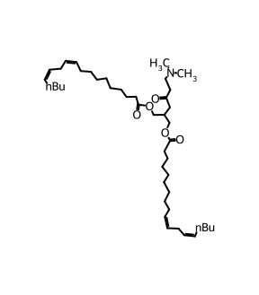 CCCC/C=C\C/C=C\CCCCCCCCC(=O)OCC(COC(=O)CCCCCCCC/C=C\C/C=C\CCCC)CC(=O)CCN(C)C